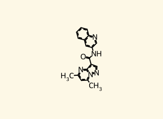 Cc1cc(C)n2ncc(C(=O)Nc3cnc4ccccc4c3)c2n1